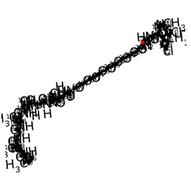 Cc1sc2c(c1C)C(c1ccc(Cl)cc1)=N[C@@H](CC(=O)Nc1ccc(OCCOCCOCCOCCOCCOCCOCCOCCOCCNC(=O)CCNC(=O)c3nc(NC(=O)CCNC(=O)c4cc(NC(=O)c5cc(NC(=O)CCNC(=O)c6cc(NC(=O)c7nccn7C)cn6C)cn5C)cn4C)cn3C)nc1)c1nnc(C)n1-2